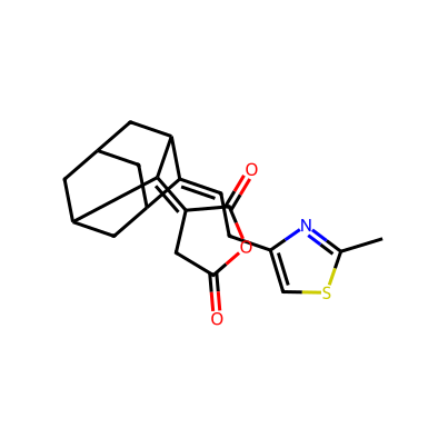 Cc1nc(CC=C2C3CC4CC(C3)C(=C3CC(=O)OC3=O)C2C4)cs1